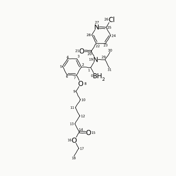 BC(c1ccccc1OCCCCCC(=O)OCC)N(C(=O)c1ccc(Cl)nc1)C(C)C